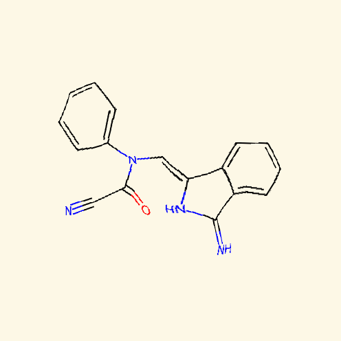 N#CC(=O)N(C=C1NC(=N)c2ccccc21)c1ccccc1